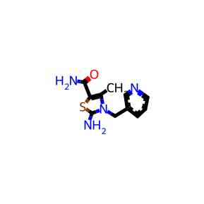 CC1=C(C(N)=O)SC(N)N1Cc1cccnc1